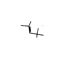 CCC(C)(C=C(C)C(C)=O)OC